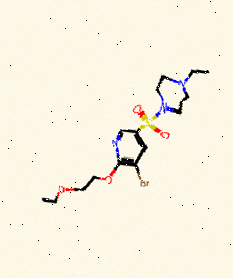 CCOCCOc1ncc(S(=O)(=O)N2CCN(CC)CC2)cc1Br